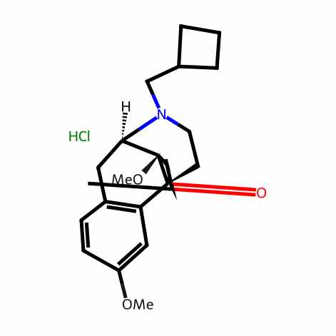 COc1ccc2c(c1)[C@]13CCN(CC4CCC4)[C@H](C2)[C@]1(OC)CCC(=O)C3.Cl